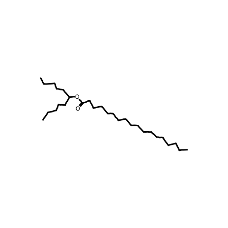 CCCCCCCCCCCCCCCCCC(=O)OC(CCCCC)CCCCC